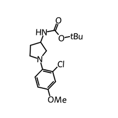 COc1ccc(N2CCC(NC(=O)OC(C)(C)C)C2)c(Cl)c1